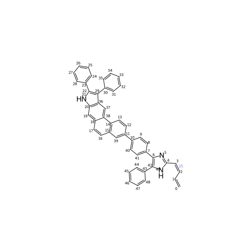 C=C/C=C\c1nc(-c2ccc(-c3ccc4c(ccc5cc6[nH]c(-c7ccccc7)c(-c7ccccc7)c6cc54)c3)cc2)c(-c2ccccc2)[nH]1